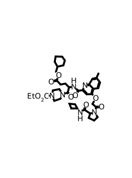 CCOC(=O)N1CCN(C(=O)C(CCC(=O)OCC2CCCCC2)NC(=O)c2cc(OCC(=O)N3CCCC3C(=O)NC3CCC3)c3ccc(C)cc3n2)CC1